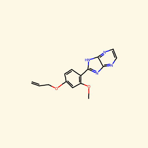 C=CCOc1ccc(-c2nc3nccnc3[nH]2)c(OC)c1